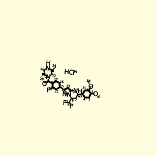 COc1ccc(C2CC(C(F)F)n3nc(-c4ccc(C(=O)N5C[C@H](C)NC[C@H]5C)c(F)c4)cc3N2)cc1OC.Cl